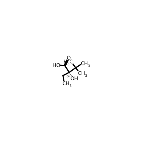 CC[C@@](O)(C(=O)O)C(C)(C)C